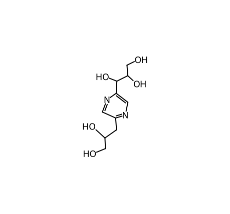 OCC(O)Cc1cnc(C(O)C(O)CO)cn1